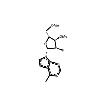 COC[C@H]1O[C@@H](n2cnc3c(C)ncnc32)[C@H](F)[C@@H]1OC